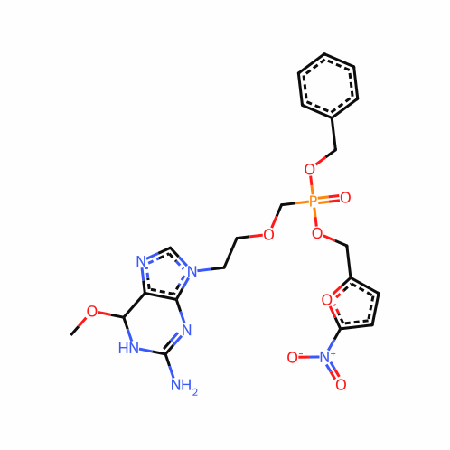 COC1NC(N)=Nc2c1ncn2CCOCP(=O)(OCc1ccccc1)OCc1ccc([N+](=O)[O-])o1